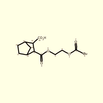 CCC(C)C(=O)OCCOC(=O)C1C2CCC(C2)C1C(=O)O